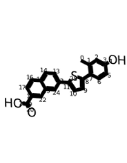 Cc1cc(O)ccc1-c1ccc(-c2ccc3ccc(C(=O)O)cc3c2)s1